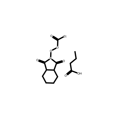 CCC(=O)OON1C(=O)C2CCCCC2C1=O.CCCC(=O)O